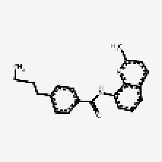 CCCCc1ccc(C(=O)Nc2cccc3ccc(C)nc23)cc1